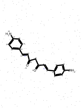 Nc1ccc(/C=C/C(=O)CC(=O)/C=C/c2ccc(N)cc2)cc1